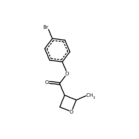 CC1OCC1C(=O)Oc1ccc(Br)cc1